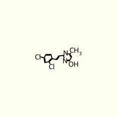 Cc1cc(O)nc(/C=C/c2ccc(Cl)cc2Cl)n1